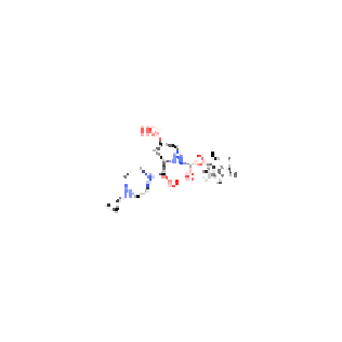 CC(C)(C)OC(=O)N1C[C@H](O)C[C@@H]1C(=O)N1CCCN(C2CC2)CC1